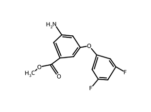 COC(=O)c1cc(N)cc(Oc2cc(F)cc(F)c2)c1